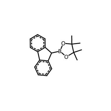 CC1(C)OB(C2c3ccccc3-c3ccccc32)OC1(C)C